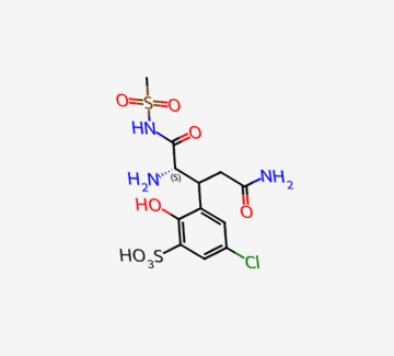 CS(=O)(=O)NC(=O)[C@@H](N)C(CC(N)=O)c1cc(Cl)cc(S(=O)(=O)O)c1O